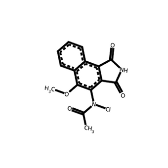 COc1c(N(Cl)C(C)=O)c2c(c3ccccc13)C(=O)NC2=O